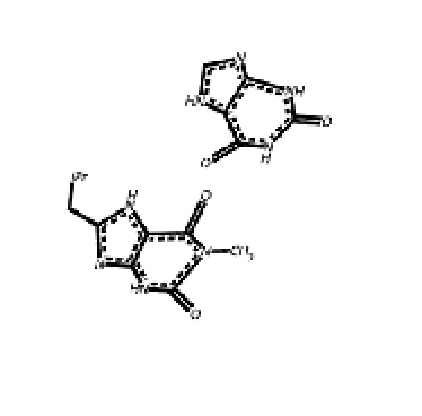 CC(C)Cc1nc2[nH]c(=O)n(C)c(=O)c2[nH]1.O=c1[nH]c(=O)c2[nH]cnc2[nH]1